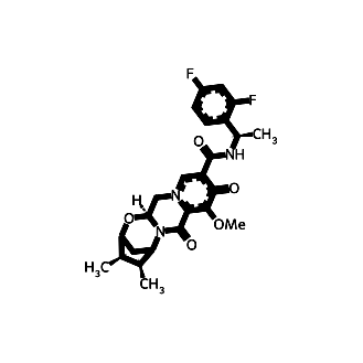 COc1c2n(cc(C(=O)N[C@H](C)c3ccc(F)cc3F)c1=O)C[C@@H]1OC3CC([C@@H](C)[C@H]3C)N1C2=O